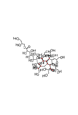 O=C(OCC(O)CO)C(O)C(O)C(O)C(O)C(O)C(O)C(O)C(CC(O)CO)C(CC(O)CO)C(CC(O)CO)C(CC(O)CO)C(CC(O)CO)C(CC(O)CO)C(CC(O)CO)C(CC(O)CO)C(CO)CC(O)CO